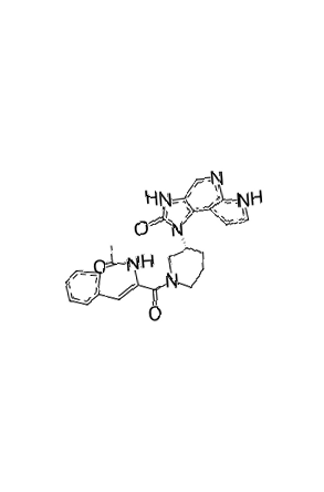 CC(=O)N/C(=C\c1ccccc1)C(=O)N1CCC[C@@H](n2c(=O)[nH]c3cnc4[nH]ccc4c32)C1